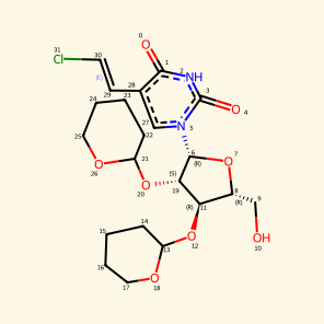 O=c1[nH]c(=O)n([C@@H]2O[C@H](CO)[C@@H](OC3CCCCO3)[C@@H]2OC2CCCCO2)cc1/C=C/Cl